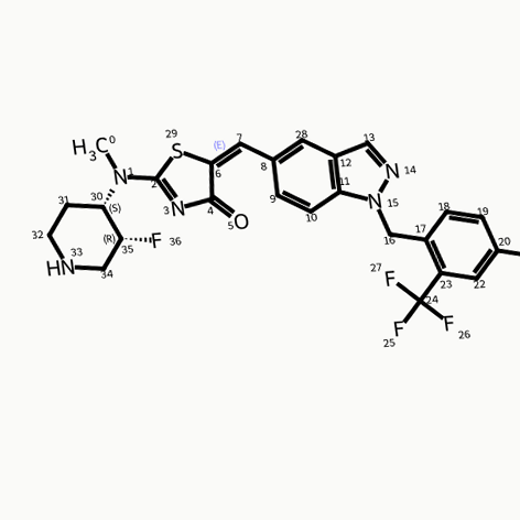 CN(C1=NC(=O)/C(=C\c2ccc3c(cnn3Cc3ccc(Cl)cc3C(F)(F)F)c2)S1)[C@H]1CCNC[C@H]1F